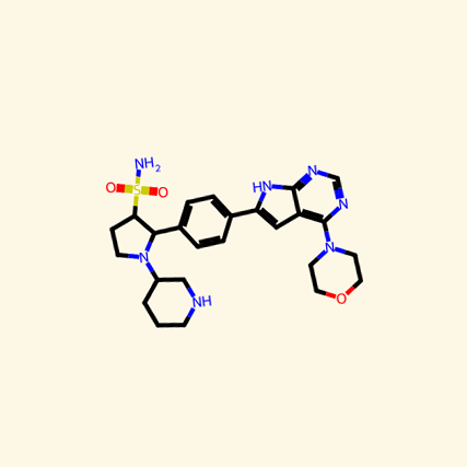 NS(=O)(=O)C1CCN(C2CCCNC2)C1c1ccc(-c2cc3c(N4CCOCC4)ncnc3[nH]2)cc1